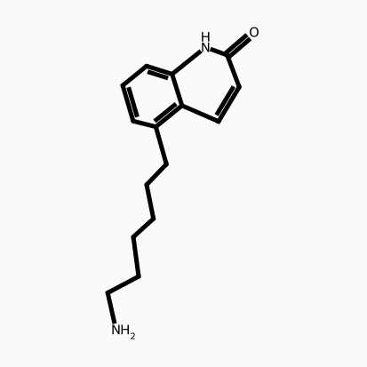 NCCCCCCc1cccc2[nH]c(=O)ccc12